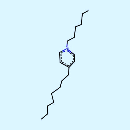 CCCCCCCCc1cc[n+](CCCCCC)cc1